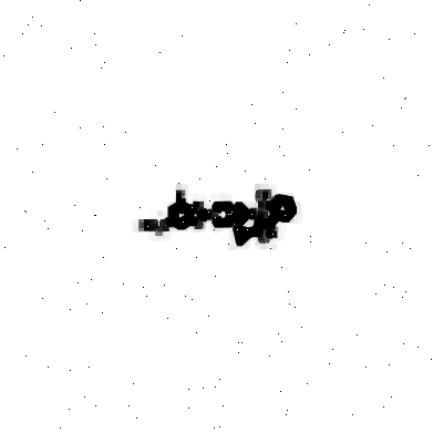 O=C(O)c1cc(F)c2nc(N3CCC4(CC3)CC(Nc3c(-c5ccccc5OC(F)(F)F)noc3C3CC3)C4)sc2c1